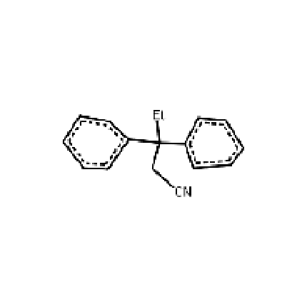 CCC(CC#N)(c1ccccc1)c1ccccc1